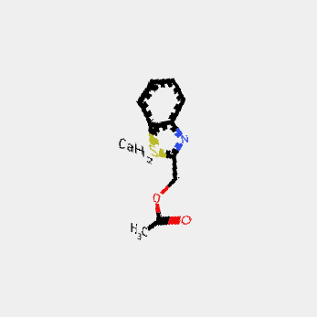 CC(=O)O[CH]c1nc2ccccc2s1.[CaH2]